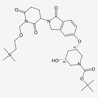 CC(C)(C)OC(=O)N1C[C@H](O)C[C@H](Oc2ccc3c(c2)CN(C2CCC(=O)N(COCC[Si](C)(C)C)C2=O)C3=O)C1